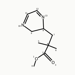 COC(=O)C(C)(C)CC1CN=CC=N1